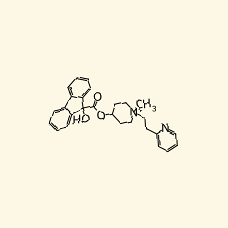 C[N+]1(CCc2ccccn2)CCC(OC(=O)C2(O)c3ccccc3-c3ccccc32)CC1